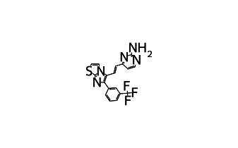 Nc1nccc(/C=C/c2c(-c3cccc(C(F)(F)F)c3)nc3sccn23)n1